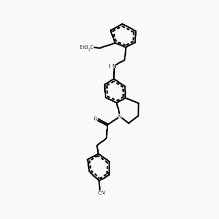 CCOC(=O)Cc1ccccc1CNc1ccc2c(c1)CCCN2C(=O)CCc1ccc(C#N)cc1